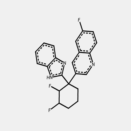 Fc1ccc2ncc(C3(c4nc5ccccc5[nH]4)CCCC(F)C3F)cc2c1